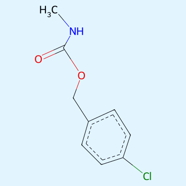 CNC(=O)OCc1ccc(Cl)cc1